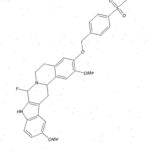 COc1ccc2[nH]c3c(c2c1)CC1c2cc(OC)c(OCc4ccc(S(C)(=O)=O)cc4)cc2CCN1C3F